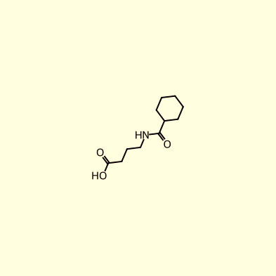 O=C(O)CCCNC(=O)C1CCCCC1